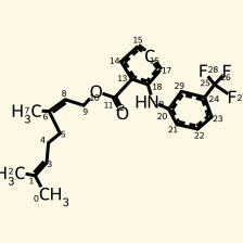 CC(C)=CCCC(C)=CCOC(=O)c1ccccc1Nc1cccc(C(F)(F)F)c1